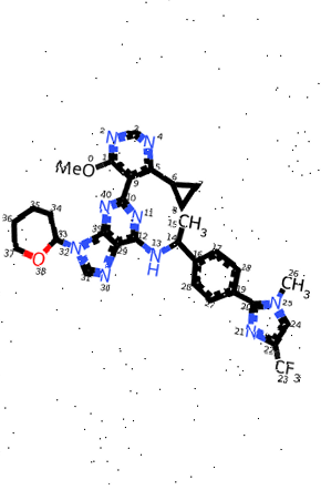 COc1ncnc(C2CC2)c1-c1nc(NC(C)c2ccc(-c3nc(C(F)(F)F)cn3C)cc2)c2ncn(C3CCCCO3)c2n1